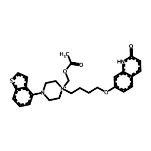 CC(=O)OC[N+]1(CCCCOc2ccc3ccc(=O)[nH]c3c2)CCN(c2cccc3sccc23)CC1